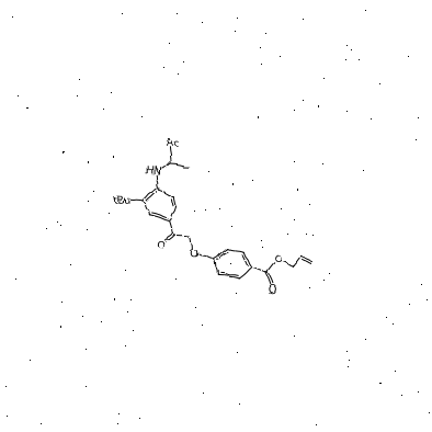 C=CCOC(=O)c1ccc(OCC(=O)c2ccc(NC(C)C(C)=O)c(C(C)(C)C)c2)cc1